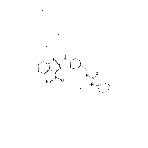 CN(C)c1nc(N[C@H]2CC[C@@H](CNC(=O)NC3CCCCC3)CC2)nc2ccccc12